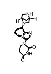 O=C1CCN(c2cnc3c(N4C[C@@H]5C[C@H]4CN5)cccn23)C(=O)N1